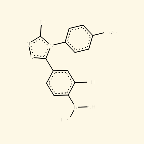 CCc1nnc(-c2ccc(N(C)C)c(C)c2)n1-c1ccc(OC)cc1